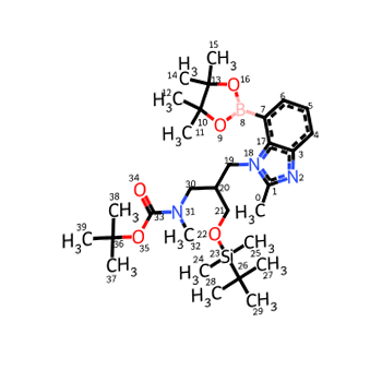 Cc1nc2cccc(B3OC(C)(C)C(C)(C)O3)c2n1CC(CO[Si](C)(C)C(C)(C)C)CN(C)C(=O)OC(C)(C)C